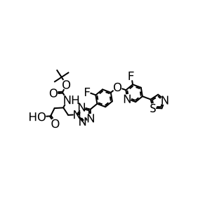 CC(C)(C)OC(=O)NC(CC(=O)O)Cn1nnc(-c2ccc(Oc3ncc(-c4cncs4)cc3F)cc2F)n1